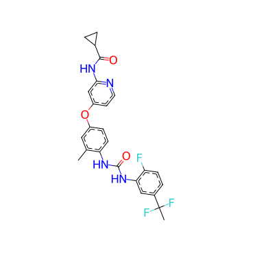 Cc1cc(Oc2ccnc(NC(=O)C3CC3)c2)ccc1NC(=O)Nc1cc(C(C)(F)F)ccc1F